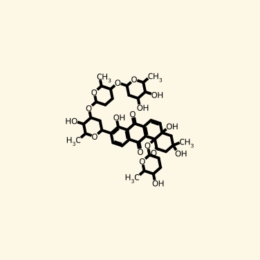 CC1OC(OC23C(=O)CC(C)(O)CC2(O)C=CC2=C3C(=O)c3ccc(C4CC(OC5CCC(OC6CC(O)C(O)C(C)O6)C(C)O5)C(O)C(C)O4)c(O)c3C2=O)CCC1O